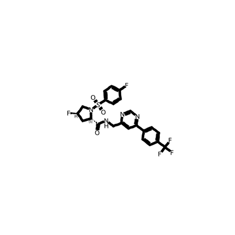 O=C(NCc1cc(-c2ccc(C(F)(F)F)cc2)ncn1)[C@@H]1C[C@@H](F)CN1S(=O)(=O)c1ccc(F)cc1